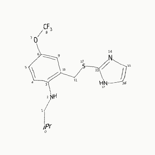 CC(C)CNc1ccc(OC(F)(F)F)cc1CSc1ncc[nH]1